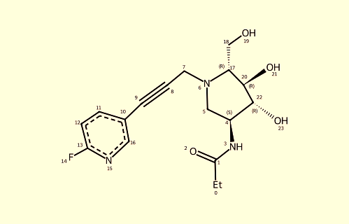 CCC(=O)N[C@H]1CN(CC#Cc2ccc(F)nc2)[C@H](CO)[C@@H](O)[C@@H]1O